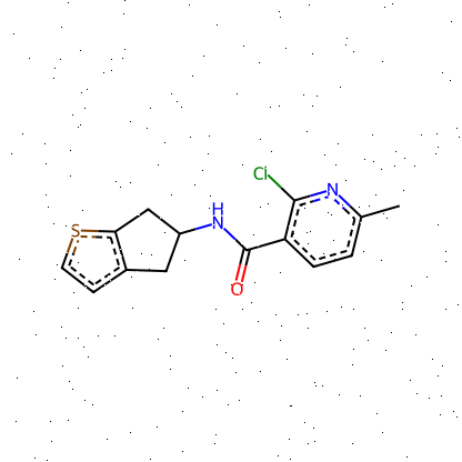 Cc1ccc(C(=O)NC2Cc3ccsc3C2)c(Cl)n1